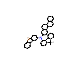 CC1(C)c2ccccc2-c2c(N(c3ccc4c(ccc5c6ccccc6ccc45)c3)c3ccc4sc5ccccc5c4c3)cccc21